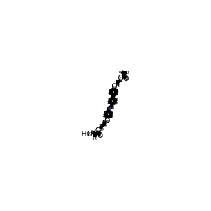 C=C(C)C(=O)OCCCOc1ccc(-c2ccc(/C=C/c3ccc(OCCCCOC(=O)C(=C)CO)cc3)cc2)cc1